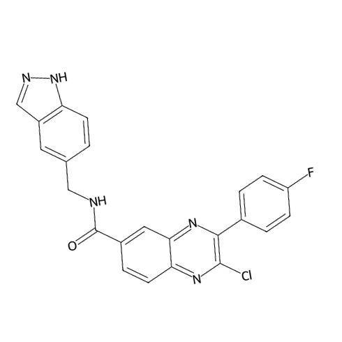 O=C(NCc1ccc2[nH]ncc2c1)c1ccc2nc(Cl)c(-c3ccc(F)cc3)nc2c1